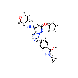 O=C(NC1CC1)c1ccc(-c2nnc3c(NCC4CCOCC4)cc(OC4CCCC4)nn23)cc1